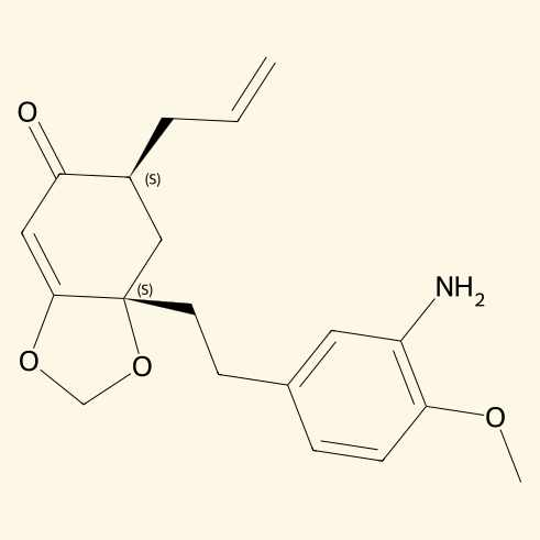 C=CC[C@H]1C[C@]2(CCc3ccc(OC)c(N)c3)OCOC2=CC1=O